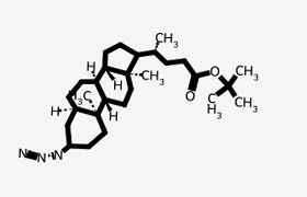 C[C@H](CCC(=O)OC(C)(C)C)C1CC[C@H]2[C@@H]3CC[C@@H]4CC(N=[N+]=[N-])CC[C@]4(C)[C@H]3CC[C@]12C